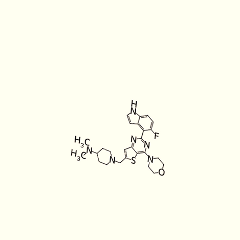 CN(C)C1CCN(Cc2cc3nc(-c4c(F)ccc5[nH]ccc45)nc(N4CCOCC4)c3s2)CC1